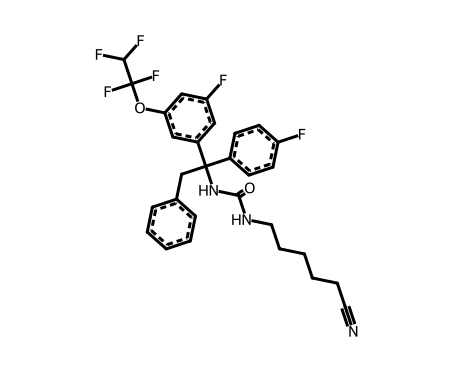 N#CCCCCCNC(=O)NC(Cc1ccccc1)(c1ccc(F)cc1)c1cc(F)cc(OC(F)(F)C(F)F)c1